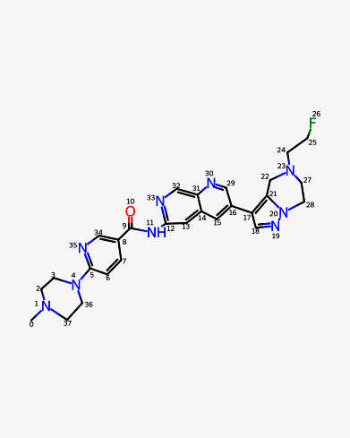 CN1CCN(c2ccc(C(=O)Nc3cc4cc(-c5cnn6c5CN(CCF)CC6)cnc4cn3)cn2)CC1